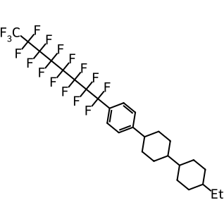 CCC1CCC(C2CCC(c3ccc(C(F)(F)C(F)(F)C(F)(F)C(F)(F)C(F)(F)C(F)(F)C(F)(F)C(F)(F)F)cc3)CC2)CC1